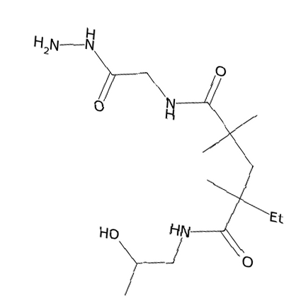 CCC(C)(CC(C)(C)C(=O)NCC(=O)NN)C(=O)NCC(C)O